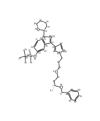 C[C@H](CCOCCCn1cc(-c2nn(C3CCCCO3)c3ccc(O[Si](C)(C)C(C)(C)C)cc23)cn1)OCc1ccccc1